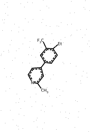 CCc1ccc(-c2ccnc(C)c2)cc1C(F)(F)F